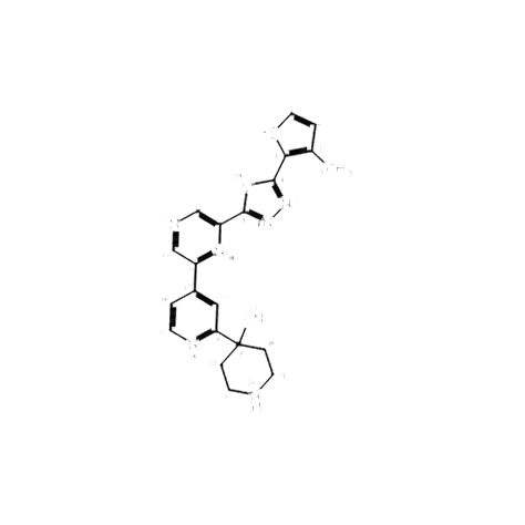 Cc1ccsc1-c1nnc(-c2cncc(-c3ccnc(C4(C#N)CCNCC4)c3)n2)o1